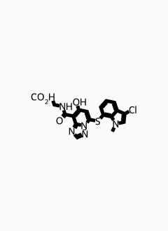 Cn1cc(Cl)c2cccc(Sc3cc(O)c(C(=O)NCC(=O)O)c4ncnn34)c21